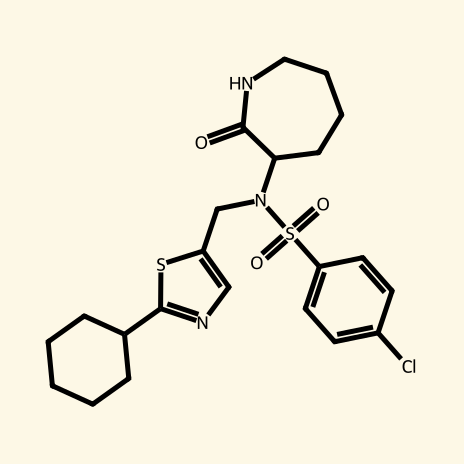 O=C1NCCCCC1N(Cc1cnc(C2CCCCC2)s1)S(=O)(=O)c1ccc(Cl)cc1